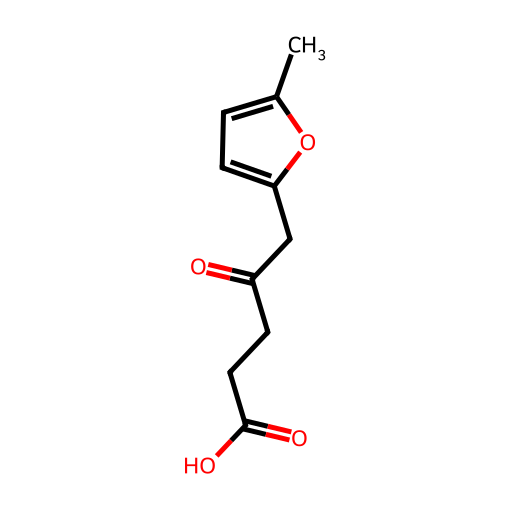 Cc1ccc(CC(=O)CCC(=O)O)o1